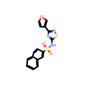 O=S(=O)(Nc1nc(-c2ccoc2)ns1)c1ccc2ccccc2c1